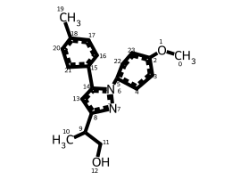 COc1ccc(-n2nc(C(C)CO)cc2-c2ccc(C)cc2)cc1